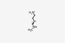 CN/C=N/CCN